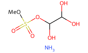 COS(=O)(=O)OC(O)C(O)O.N